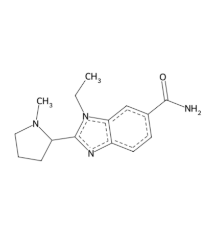 CCn1c(C2CCCN2C)nc2ccc(C(N)=O)cc21